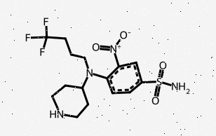 NS(=O)(=O)c1ccc(N(CCCC(F)(F)F)C2CCNCC2)c([N+](=O)[O-])c1